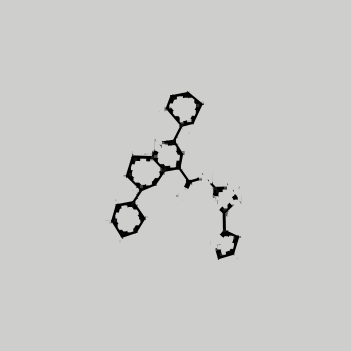 O=C(Nc1nnc(-c2ccco2)o1)c1cc(-c2ccccc2)nc2ccc(-c3ccccc3)cc12